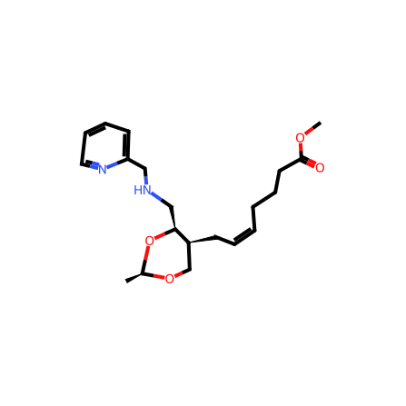 COC(=O)CCC/C=C\C[C@H]1CO[C@@H](C)O[C@H]1CNCc1ccccn1